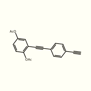 C#Cc1ccc(C#Cc2cc(OC(C)=O)ccc2OC(C)=O)cc1